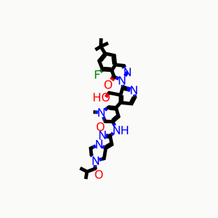 CC(C)C(=O)N1CCn2nc(Nc3cc(-c4ccnc(-n5ncc6cc(C(C)(C)C)cc(F)c6c5=O)c4CO)cn(C)c3=O)cc2C1